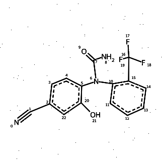 N#Cc1ccc(N(C(N)=O)c2ccccc2C(F)(F)F)c(O)c1